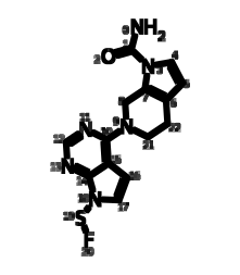 NC(=O)n1ccc2c1CN(c1ncnc3c1ccn3SF)CC2